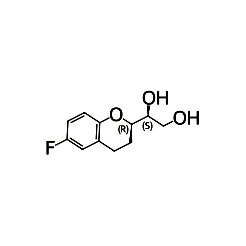 OC[C@H](O)[C@H]1CCc2cc(F)ccc2O1